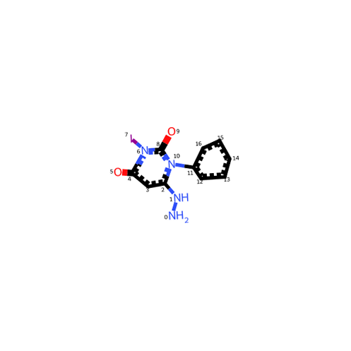 NNc1cc(=O)n(I)c(=O)n1-c1ccccc1